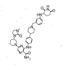 CN1CCN([C@@H]2CCCN(c3cnc(C(N)=O)c(Nc4ccc(C5CCN(Cc6cccc(NC7CCC(=O)NC7=O)c6)CC5)cc4)n3)C2)C1=O